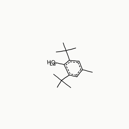 Cc1cc(C(C)(C)C)c(O)c(C(C)(C)C)c1.[La]